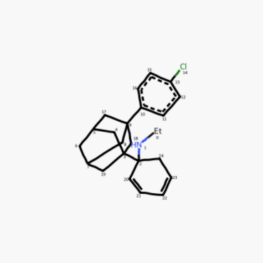 CCNC1(C23CC4CC(CC(c5ccc(Cl)cc5)(C4)C2)C3)C=CC=CC1